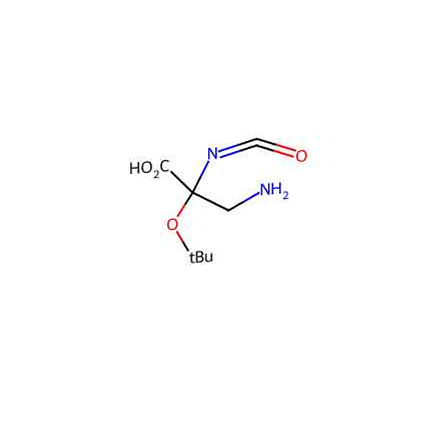 CC(C)(C)OC(CN)(N=C=O)C(=O)O